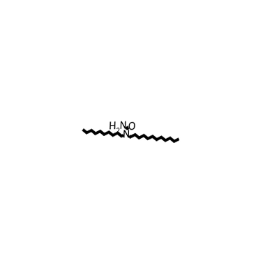 CCCCCCCCCCCCN(CCCCCCCCCC)C(N)=O